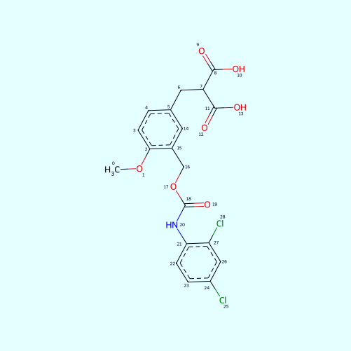 COc1ccc(CC(C(=O)O)C(=O)O)cc1COC(=O)Nc1ccc(Cl)cc1Cl